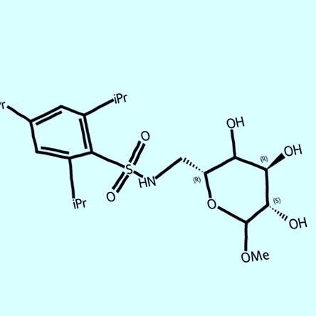 COC1O[C@H](CNS(=O)(=O)c2c(C(C)C)cc(C(C)C)cc2C(C)C)C(O)[C@@H](O)[C@@H]1O